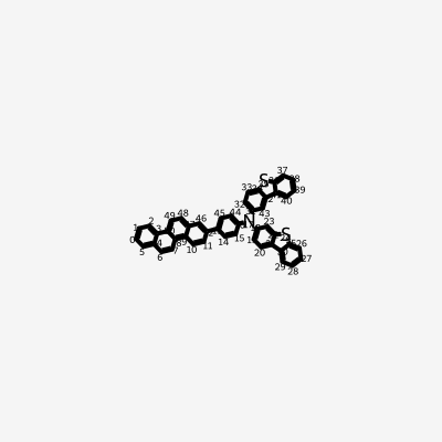 c1ccc2c(c1)ccc1c3ccc(-c4ccc(N(c5ccc6c(c5)sc5ccccc56)c5ccc6sc7ccccc7c6c5)cc4)cc3ccc21